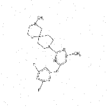 Cc1cc(Oc2cc(F)cc(F)c2)nc(N2CCC3(CC2)CN(C)CCO3)n1